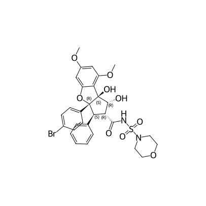 COc1cc(OC)c2c(c1)O[C@@]1(c3ccc(Br)cc3)[C@H](c3ccccc3)[C@@H](C(=O)NS(=O)(=O)N3CCOCC3)[C@@H](O)[C@@]21O